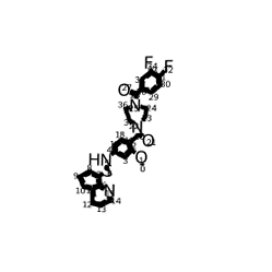 COc1cc(NSc2cccc3cccnc23)ccc1C(=O)N1CCN(C(=O)c2ccc(F)c(F)c2)CC1